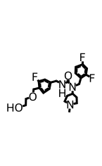 CN1CCC(N(Cc2ccc(F)cc2F)C(=O)NCc2ccc(COCCO)c(F)c2)CC1